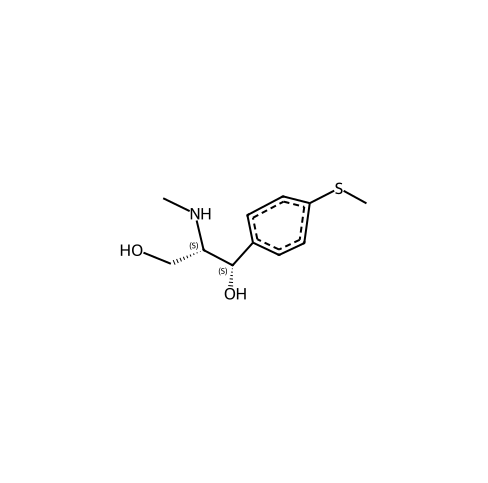 CN[C@@H](CO)[C@@H](O)c1ccc(SC)cc1